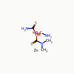 CN(C)C(O)=S.NC(=O)O.NC(O)=S.[Zn]